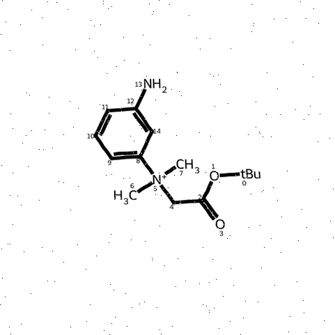 CC(C)(C)OC(=O)C[N+](C)(C)c1cccc(N)c1